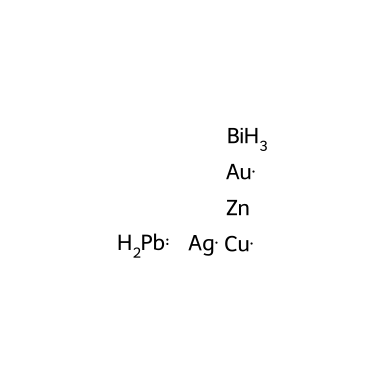 [Ag].[Au].[BiH3].[Cu].[PbH2].[Zn]